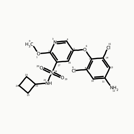 COc1ncc(Oc2c(Cl)cc(N)cc2Cl)cc1S(=O)(=O)NC1CCC1